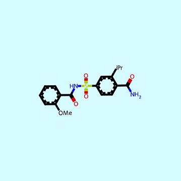 COc1ccccc1C(=O)NS(=O)(=O)c1ccc(C(N)=O)c(C(C)C)c1